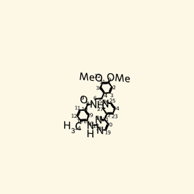 COc1ccc(CCNC(=O)c2ccc(C)c(Nc3nccc(-c4cccnc4)n3)c2)cc1OC